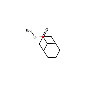 CC(C)(C)OC(=O)C1C2CCCC1CCC2